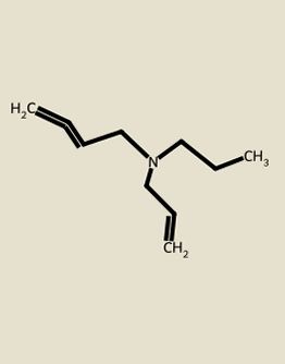 C=C=CCN(CC=C)CCC